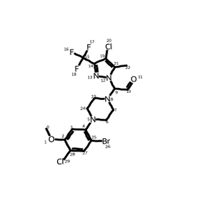 COc1cc(N2CCN(C(C=O)n3nc(C(F)(F)F)c(Cl)c3C)CC2)c(Br)cc1Cl